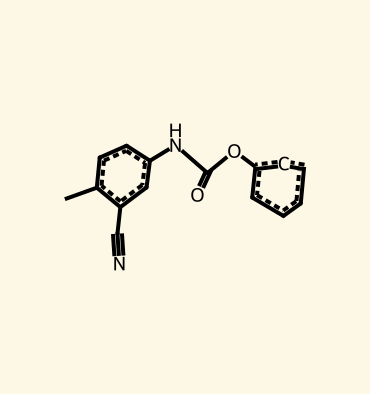 Cc1ccc(NC(=O)Oc2ccccc2)cc1C#N